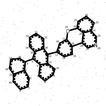 c1ccc2c(-c3c4ccccc4c(-c4ccc5c(c4)Oc4cccc6cncc-5c46)c4ccccc34)cccc2c1